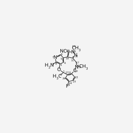 C[C@H]1Oc2cc(cnc2N)-c2c(nn(C)c2C#N)CN(C)Cc2ccc(F)cc21